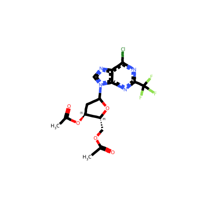 CC(=O)OC[C@H]1OC(n2cnc3c(Cl)nc(C(F)(F)F)nc32)C[C@@H]1OC(C)=O